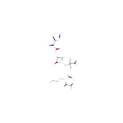 CCCCn1c(SCC2(C(=O)O)CS[C@@H]3C(NC(=O)C(=NO)c4csc(N)n4)C(=O)N3C2)nnc(O)c1=O